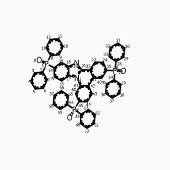 O=P(c1ccccc1)(c1ccccc1)c1ccc2c(c1)nc1c3ccc(P(=O)(c4ccccc4)c4ccccc4)cc3c3ccc(P(=O)(c4ccccc4)c4ccccc4)cc3n21